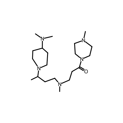 CC(CCN(C)CCC(=O)N1CCN(C)CC1)N1CCC(N(C)C)CC1